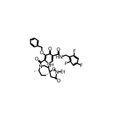 CCN1O[C@@]2(CC[C@H](C)N3C[C@H]2n2cc(C(=O)NCc4c(F)cc(F)cc4F)c(=O)c(OCc4ccccc4)c2C3=O)CC1=O